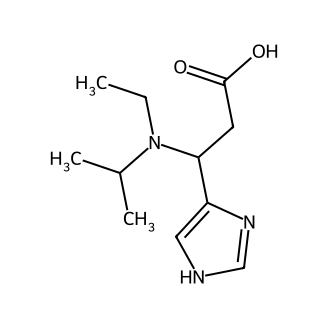 CCN(C(C)C)C(CC(=O)O)c1c[nH]cn1